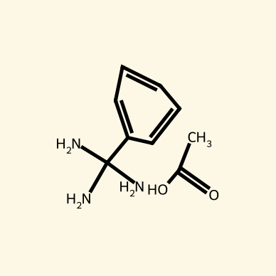 CC(=O)O.NC(N)(N)c1ccccc1